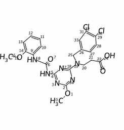 COc1nc(NC(=O)Nc2ccccc2OC)nc(N(CCC(=O)O)Cc2ccc(Cl)c(Cl)c2)n1